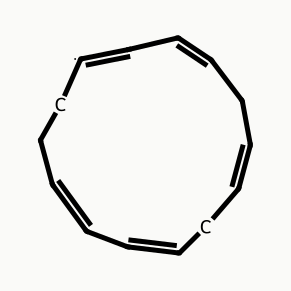 [C]1=CC=CCC=CCC=CC=CCC1